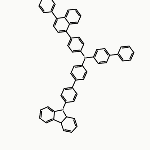 C1=CC2c3ccccc3N(c3ccc(-c4ccc(N(c5ccc(-c6ccccc6)cc5)c5ccc(-c6ccc(-c7ccccc7)c7ccccc67)cc5)cc4)cc3)C2C=C1